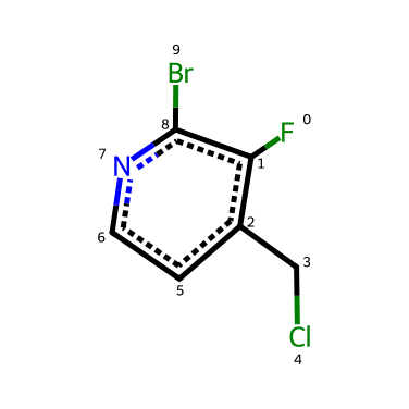 Fc1c(CCl)ccnc1Br